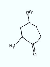 CCCC1CCC(=O)C(C)C1